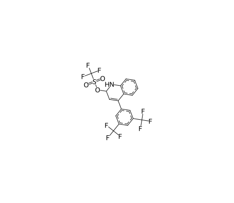 O=S(=O)(OC1C=C(c2cc(C(F)(F)F)cc(C(F)(F)F)c2)c2ccccc2N1)C(F)(F)F